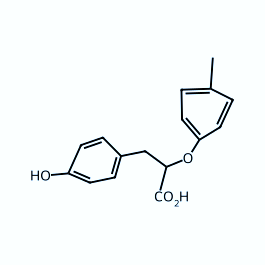 Cc1ccc(OC(Cc2ccc(O)cc2)C(=O)O)cc1